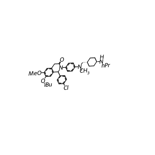 CCCN[C@H]1CC[C@H](CN(C)c2ccc(N3C(=O)Cc4cc(OC)c(O[C@H](C)CC)cc4C3c3ccc(Cl)cc3)cc2)CC1